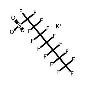 O=S(=O)([O-])C(F)(F)C(F)(F)C(F)(F)C(F)(F)C(F)(F)C(F)(F)C(F)(F)F.[K+]